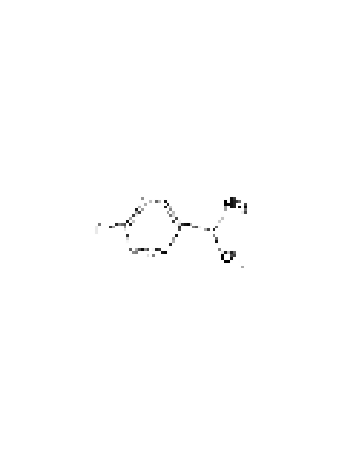 NC(c1ccc(I)cc1)C(F)(F)F